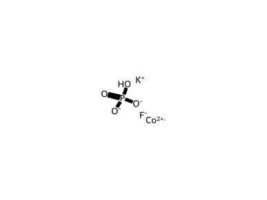 O=P([O-])([O-])O.[Co+2].[F-].[K+]